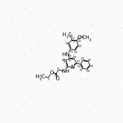 CCOC(=O)CNc1nc(Nc2ccc(OC)c(C)c2)cc(-c2ccccc2)n1